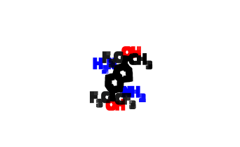 CC(O)(c1ccc2c(N)c(C(O)(C(F)(F)F)C(F)(F)F)ccc2c1N)C(F)(F)F